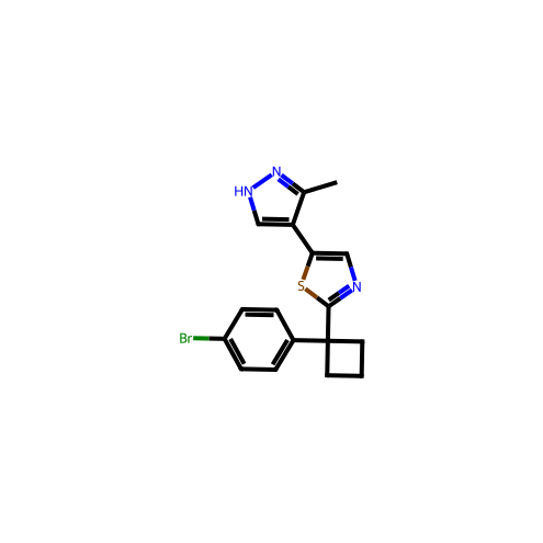 Cc1n[nH]cc1-c1cnc(C2(c3ccc(Br)cc3)CCC2)s1